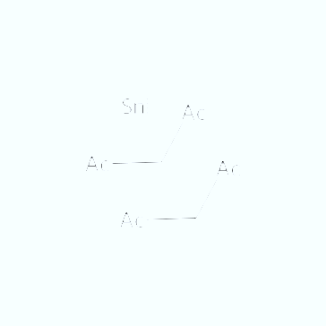 CC(=O)CC(C)=O.CC(=O)CC(C)=O.[Sn]